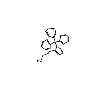 OCCCc1cccn1C(c1ccccc1)(c1ccccc1)c1ccccc1